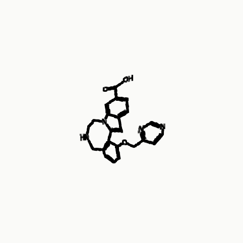 O=C(O)c1ccc2cc3n(c2c1)CCNCc1cccc(OCc2ccncn2)c1-3